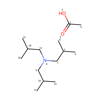 CC(=O)O.CC(C)CN(CC(C)C)CC(C)C